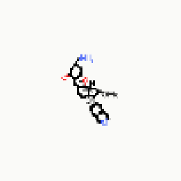 CO[C@@H]1C[C@H]2[C@@H]3OC4=C(C=C3C=C[C@]2(C)[C@H]1c1ccc2cnccc2c1)C(=O)CC(CN)C4